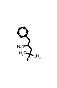 CC(C)(F)CC(N)Cc1ccccc1